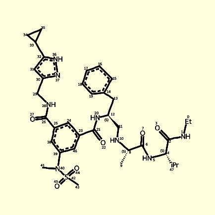 CCNC(=O)[C@@H](NC(=O)[C@H](C)NC[C@H](Cc1ccccc1)NC(=O)c1cc(C(=O)NCc2cc(C3CC3)[nH]n2)cc(N(C)S(C)(=O)=O)c1)C(C)C